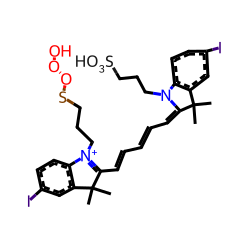 CC1(C)C(/C=C/C=C/C=C2\N(CCCS(=O)(=O)O)c3ccc(I)cc3C2(C)C)=[N+](CCCSOOO)c2ccc(I)cc21